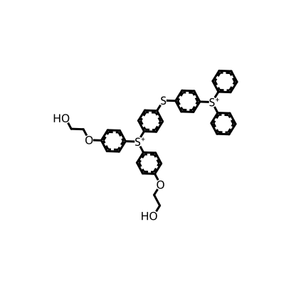 OCCOc1ccc([S+](c2ccc(OCCO)cc2)c2ccc(Sc3ccc([S+](c4ccccc4)c4ccccc4)cc3)cc2)cc1